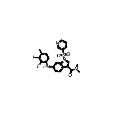 Cc1ccc(Nc2ccc3c(C(=O)N(C)C)cn(S(=O)(=O)c4cccnc4)c3c2)c(F)c1F